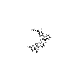 CN(CCO)c1ccc(-n2c(=O)n(CC3CCC(NC(=O)c4cc(Cl)cnc4C(F)F)CC3)c3ccccc32)cn1